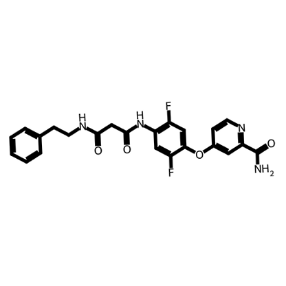 NC(=O)c1cc(Oc2cc(F)c(NC(=O)CC(=O)NCCc3ccccc3)cc2F)ccn1